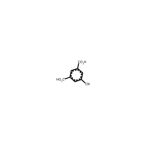 N#Cc1cc(C(=O)O)cc(C(=O)O)c1